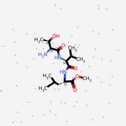 COC(=O)[C@H](CC(C)C)NC(=O)[C@@H](NC(=O)[C@@H](N)[C@@H](C)O)C(C)C